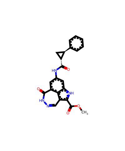 COC(=O)c1[nH]c2cc(NC(=O)[C@@H]3C[C@H]3c3ccccc3)cc3c2c1C=NNC3=O